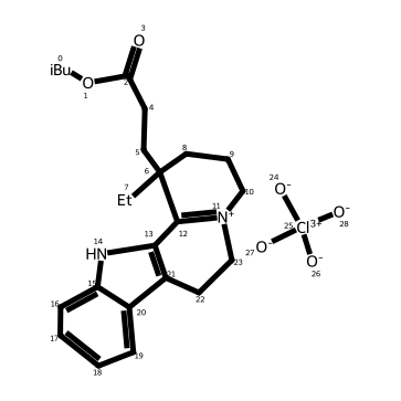 CCC(C)OC(=O)CCC1(CC)CCC[N+]2=C1c1[nH]c3ccccc3c1CC2.[O-][Cl+3]([O-])([O-])[O-]